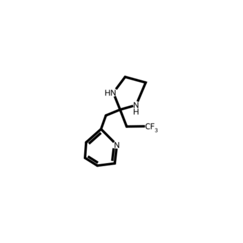 FC(F)(F)CC1(Cc2ccccn2)NCCN1